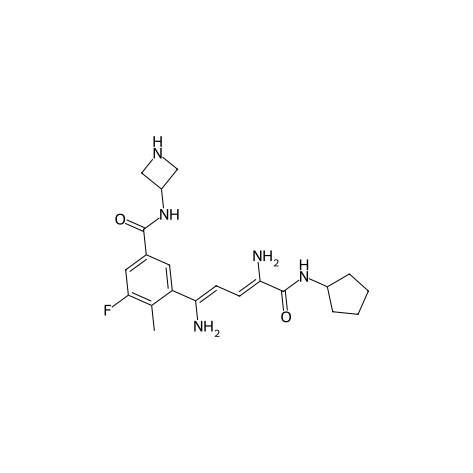 Cc1c(F)cc(C(=O)NC2CNC2)cc1/C(N)=C/C=C(\N)C(=O)NC1CCCC1